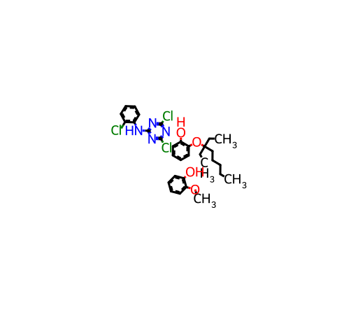 CCCCCC(CC)(CC)Oc1ccccc1O.COc1ccccc1O.Clc1nc(Cl)nc(Nc2ccccc2Cl)n1